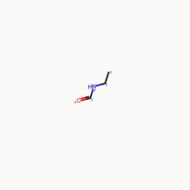 C[CH]NC=O